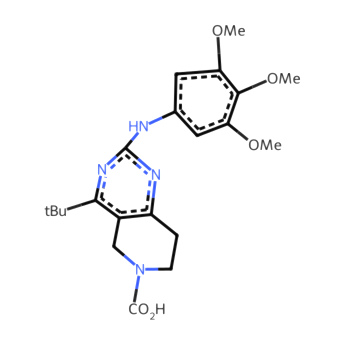 COc1cc(Nc2nc3c(c(C(C)(C)C)n2)CN(C(=O)O)CC3)cc(OC)c1OC